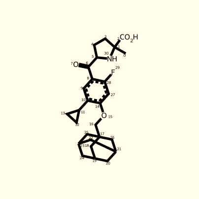 CC1(C(=O)O)CCC(C(=O)c2cc(C3CC3)c(OCC34CC5CC(CC(C5)C3)C4)cc2F)N1